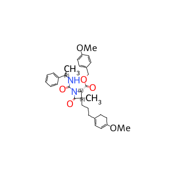 COC1=CC=C(CCC[C@@]2(C)C(=O)N(C(=O)N[C@H](C)c3ccccc3)[C@@H]2C(=O)OCc2ccc(OC)cc2)CC1